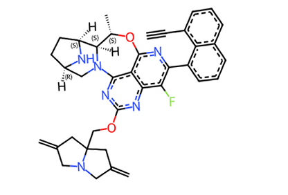 C#Cc1cccc2cccc(-c3nc4c5c(nc(OCC67CC(=C)CN6CC(=C)C7)nc5c3F)N3C[C@H]5CC[C@H](N5)[C@H]3[C@H](C)O4)c12